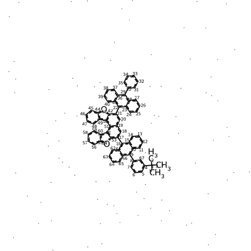 CC(C)(C)c1cccc(-c2c3ccccc3c(-c3cc4cc(-c5c6ccccc6c(-c6ccccc6)c6ccccc56)c5oc6ccccc6c5c4c4c3oc3ccccc34)c3ccccc23)c1